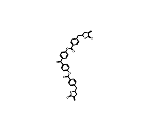 C=C1CC(Cc2ccc(C(=O)Oc3ccc(C(=O)c4ccc(OC(=O)c5ccc(CC6CC(=C)C(=O)O6)cc5)cc4)cc3)cc2)OC1=O